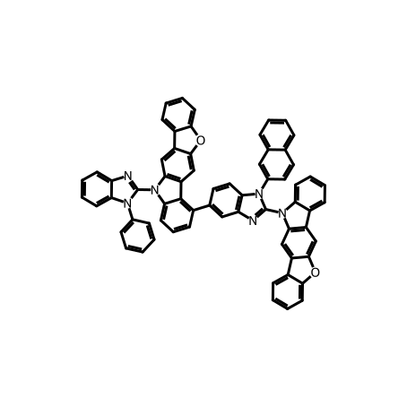 c1ccc(-n2c(-n3c4cc5c(cc4c4c(-c6ccc7c(c6)nc(-n6c8ccccc8c8cc9oc%10ccccc%10c9cc86)n7-c6ccc7ccccc7c6)cccc43)oc3ccccc35)nc3ccccc32)cc1